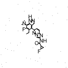 CCc1c(F)c(N(C)C)c2[nH]ncc2c1-c1ccc2nc(NC(=O)C3CC3F)cn2n1